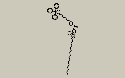 C=C(COCCCCCCOC(c1ccccc1)(c1ccccc1)c1ccccc1)COC(=O)OCCCCCCCCCCCCCCCC